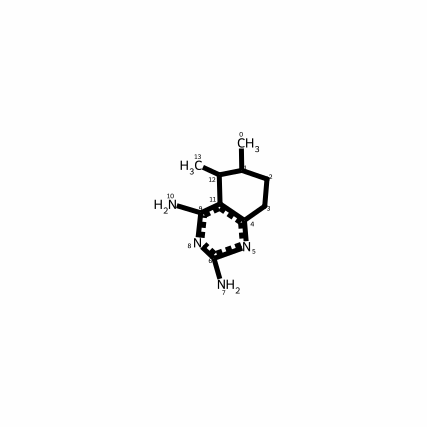 CC1CCc2nc(N)nc(N)c2C1C